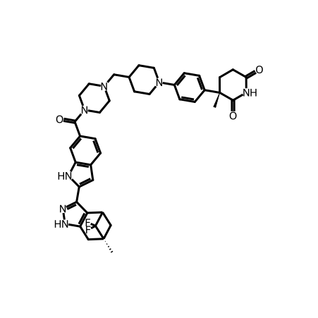 C[C@@]12Cc3[nH]nc(-c4cc5ccc(C(=O)N6CCN(CC7CCN(c8ccc([C@]9(C)CCC(=O)NC9=O)cc8)CC7)CC6)cc5[nH]4)c3C(C1)C2(F)F